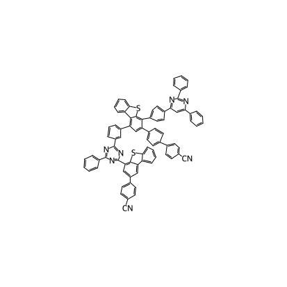 N#Cc1ccc(-c2ccc(-c3cc(-c4cccc(-c5nc(-c6ccccc6)nc(-c6cc(-c7ccc(C#N)cc7)cc7c6sc6ccccc67)n5)c4)c4c(sc5ccccc54)c3-c3ccc(-c4cc(-c5ccccc5)nc(-c5ccccc5)n4)cc3)cc2)cc1